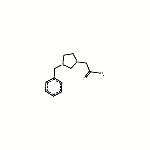 NC(=O)CN1CCN(Cc2ccccc2)C1